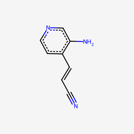 N#CC=Cc1ccncc1N